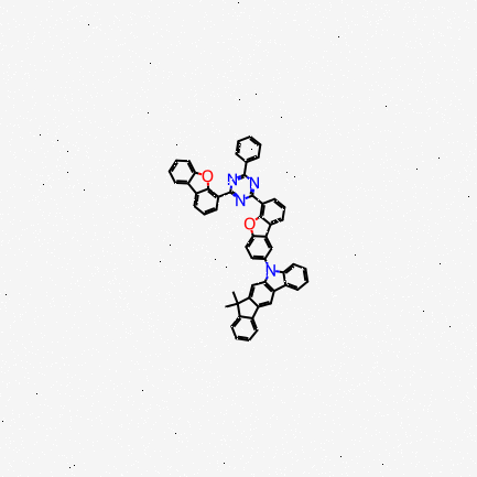 CC1(C)c2ccccc2-c2cc3c4ccccc4n(-c4ccc5oc6c(-c7nc(-c8ccccc8)nc(-c8cccc9c8oc8ccccc89)n7)cccc6c5c4)c3cc21